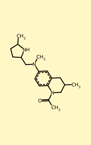 CC(=O)N1CC(C)Cc2cc(N(C)CC3CCC(C)N3)ccc21